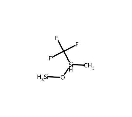 C[SiH](O[SiH3])C(F)(F)F